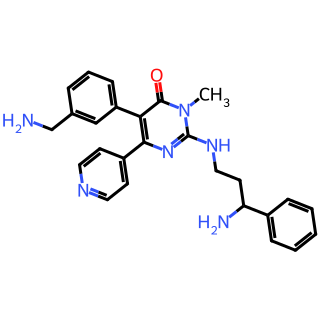 Cn1c(NCCC(N)c2ccccc2)nc(-c2ccncc2)c(-c2cccc(CN)c2)c1=O